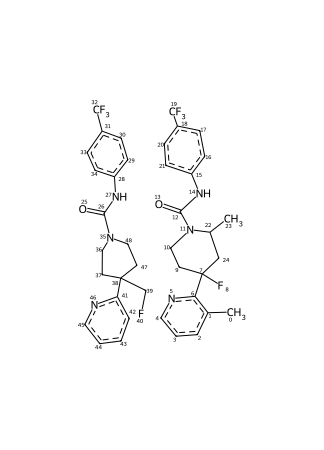 Cc1cccnc1C1(F)CCN(C(=O)Nc2ccc(C(F)(F)F)cc2)C(C)C1.O=C(Nc1ccc(C(F)(F)F)cc1)N1CCC(CF)(c2ccccn2)CC1